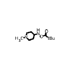 CN1CCC(NOC(=O)C(C)(C)C)CC1